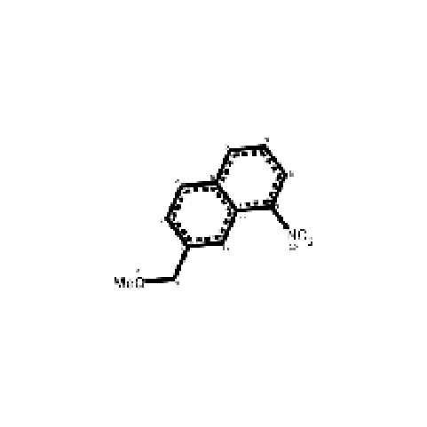 COCc1ccc2cccc([N+](=O)[O-])c2c1